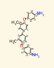 Cc1cc(-c2ccc(Oc3ccc(N)cc3)c(C)c2)ccc1Oc1ccc(N)cc1